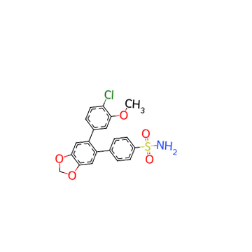 COc1cc(-c2cc3c(cc2-c2ccc(S(N)(=O)=O)cc2)OCO3)ccc1Cl